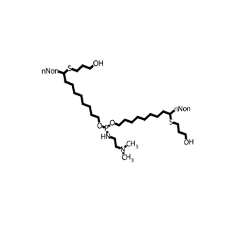 CCCCCCCCCC(CCCCCCCCOP(NCCN(C)C)OCCCCCCCCC(CCCCCCCCC)SCCCO)SCCCO